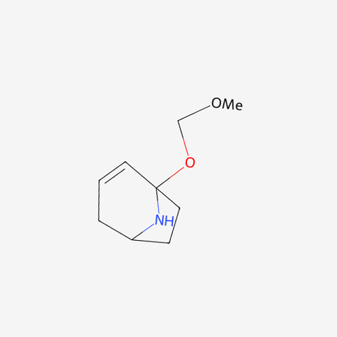 COCOC12C=CCC(CC1)N2